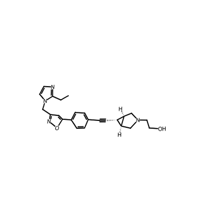 CCc1nccn1Cc1cc(-c2ccc(C#C[C@@H]3[C@H]4CN(CCO)C[C@@H]34)cc2)on1